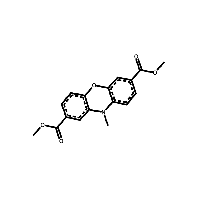 COC(=O)c1ccc2c(c1)Oc1ccc(C(=O)OC)cc1N2C